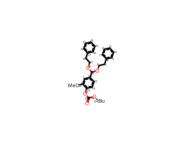 COc1cc(C(OCCc2ccccc2)OCCc2ccccc2)ccc1OC(=O)OC(C)(C)C